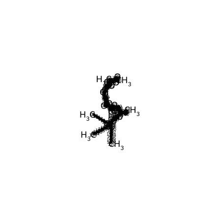 CCCCCCCCCCCCOc1cc(C(=O)Oc2ccc(NC(=O)c3cc(-c4cccc(C)c4)cc(-c4cccc(N5C(=O)C6CC(C7CC(=O)N(CCc8ccc(COC(=O)COc9ccc(N%10C(=O)C%11CC(C%12CC(=O)N(C)C%12=O)C=C(C)C%11C%10=O)cc9)cc8)C7=O)C=C(C)C6C5=O)c4)c3)cc2)cc(OCCCCCCCCCCCC)c1OCCCCCCCCCCCC